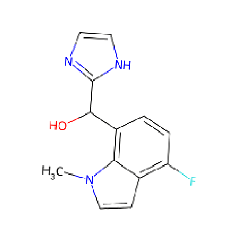 Cn1ccc2c(F)ccc(C(O)c3ncc[nH]3)c21